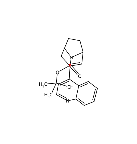 CC(C)(C)OC(=O)N1C2C=C(c3ccnc4ccccc34)CC1CC2